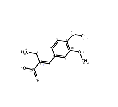 CC/C(=C\c1ccc(OC)c(OC)c1)[N+](=O)[O-]